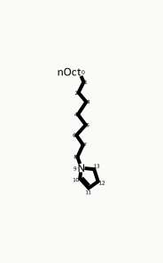 CCCCCCCCCCCCCCCCN1C=CCC1